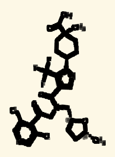 C[C@@H]1CC[C@H](CN(CC(=O)c2c(Cl)cncc2Cl)C(=O)c2cnn([C@H]3CC[C@](C)(C(=O)O)CC3)c2C(F)(F)F)O1